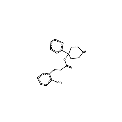 O=C(COc1ccccc1[N+](=O)[O-])OC1(c2ccccc2)CCNCC1